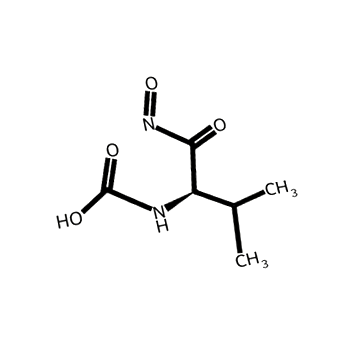 CC(C)[C@@H](NC(=O)O)C(=O)N=O